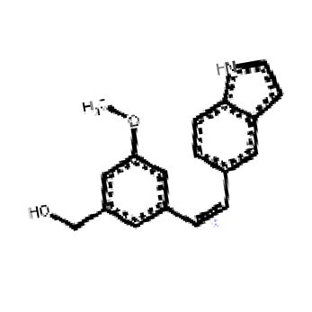 COc1cc(/C=C\c2ccc3[nH]ccc3c2)cc(CO)c1